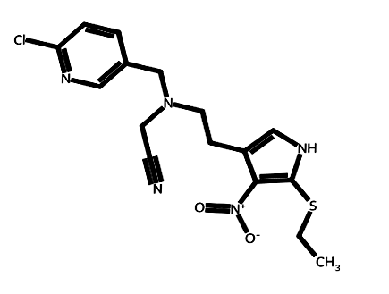 CCSc1[nH]cc(CCN(CC#N)Cc2ccc(Cl)nc2)c1[N+](=O)[O-]